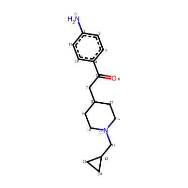 Nc1ccc(C(=O)CC2CCN(CC3CC3)CC2)cc1